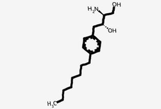 CCCCCCCCc1ccc(C[C@@H](O)[C@@H](N)CO)cc1